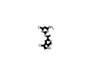 CC(Sc1nc(N)cc(Cl)n1)c1cc2c(Cl)c[nH]c2cn1